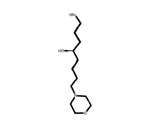 CC(C)(C)CCC[C@H](O)CCCCN1CCOCC1